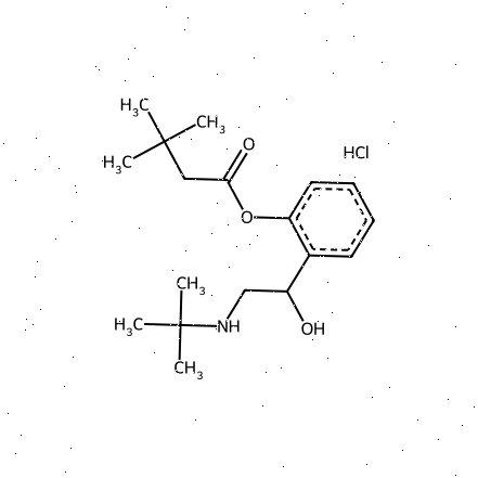 CC(C)(C)CC(=O)Oc1ccccc1C(O)CNC(C)(C)C.Cl